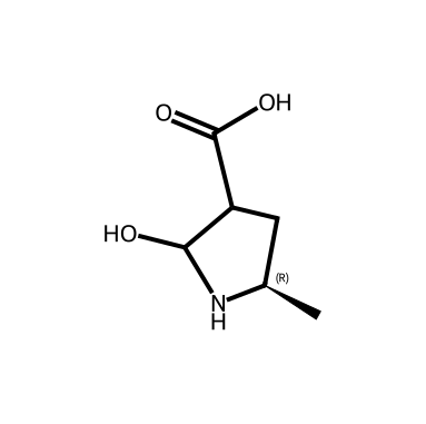 C[C@@H]1CC(C(=O)O)C(O)N1